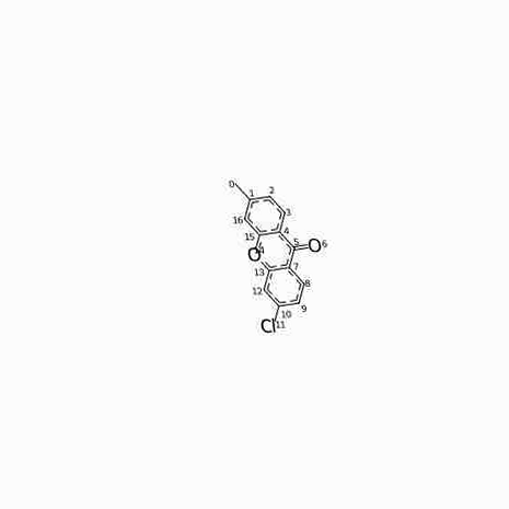 Cc1ccc2c(=O)c3ccc(Cl)cc3oc2c1